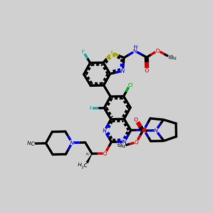 C[C@@H](CN1CCC(C#N)CC1)Oc1nc(N2CC3CCC(C2)N3C(=O)OC(C)(C)C)c2cc(Cl)c(-c3ccc(F)c4sc(NC(=O)OC(C)(C)C)nc34)c(F)c2n1